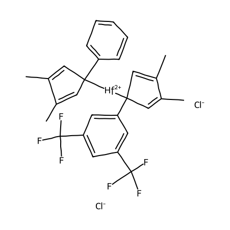 CC1=C[C]([Hf+2][C]2(c3cc(C(F)(F)F)cc(C(F)(F)F)c3)C=C(C)C(C)=C2)(c2ccccc2)C=C1C.[Cl-].[Cl-]